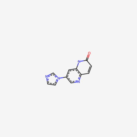 O=C1C=Cc2ncc(-n3ccnc3)cc2[N]1